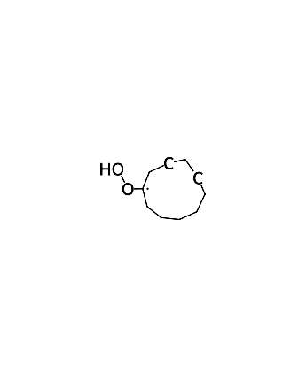 OO[C]1CCCCCCCCC1